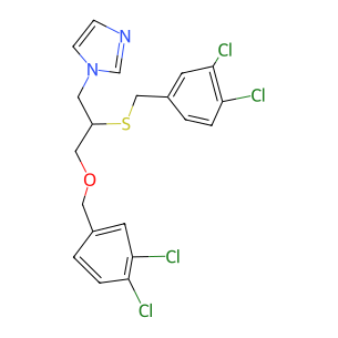 Clc1ccc(COCC(Cn2ccnc2)SCc2ccc(Cl)c(Cl)c2)cc1Cl